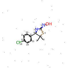 CC1(C)SC(=NO)N=C1c1ccc(Cl)cc1